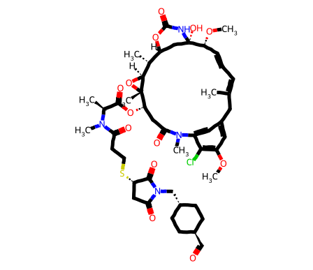 COc1cc2cc(c1Cl)N(C)C(=O)C[C@H](OC(=O)[C@H](C)N(C)C(=O)CCS[C@H]1CC(=O)N(C[C@H]3CC[C@H](C=O)CC3)C1=O)[C@]1(C)O[C@H]1[C@H](C)[C@@H]1C[C@@](O)(NC(=O)O1)[C@H](OC)/C=C/C=C(\C)C2